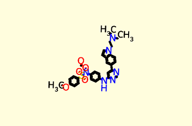 CCN(CC)CCn1ccc2cc(-c3cc(Nc4ccc(N(OC=O)S(=O)(=O)c5ccc(OC)cc5)cc4)ncn3)ccc21